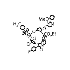 CCOC(=O)[C@H]1Cc2cc(ccc2OCc2ccnc(-c3ccccc3OC)n2)OC[C@@H](COS(=O)(=O)c2ccc(C)cc2)Oc2c(Cl)cc(cc2Cl)-c2c(-c3ccc(F)cc3)c(Cl)n3ccnc(c23)O1